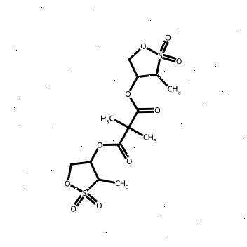 CC1C(OC(=O)C(C)(C)C(=O)OC2COS(=O)(=O)C2C)COS1(=O)=O